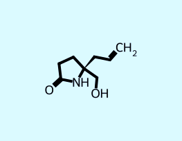 C=CC[C@]1(CO)CCC(=O)N1